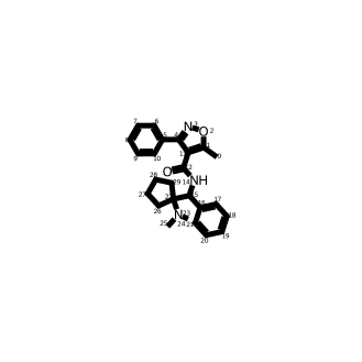 Cc1onc(-c2ccccc2)c1C(=O)NC(c1ccccc1)C1(N(C)C)CCCC1